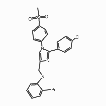 CC(C)c1ccccc1SCc1cn(-c2ccc(S(C)(=O)=O)cc2)c(-c2ccc(Cl)cc2)n1